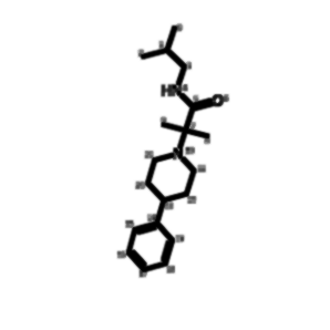 CC(C)CNC(=O)C(C)(C)N1CCC(c2ccccc2)CC1